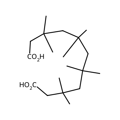 CC(C)(CC(=O)O)CC(C)(C)CC(C)(C)CC(C)(C)CC(=O)O